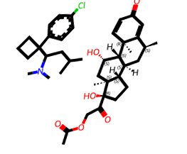 CC(=O)OCC(=O)[C@@]1(O)CC[C@H]2[C@@H]3C[C@H](C)C4=CC(=O)C=C[C@]4(C)[C@H]3[C@@H](O)C[C@@]21C.CC(C)CC(N(C)C)C1(c2ccc(Cl)cc2)CCC1